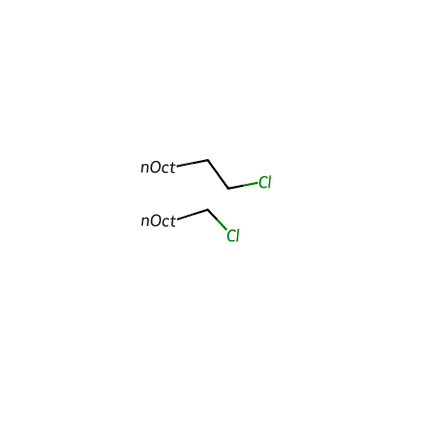 CCCCCCCCCCCl.CCCCCCCCCCl